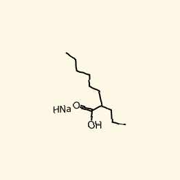 CCCCCCC(CCC)C(=O)O.[NaH]